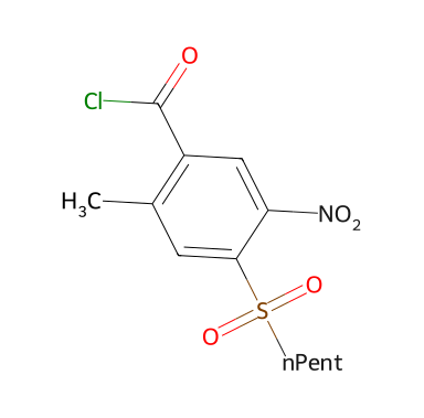 CCCCCS(=O)(=O)c1cc(C)c(C(=O)Cl)cc1[N+](=O)[O-]